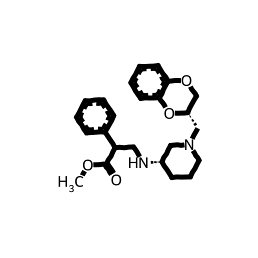 COC(=O)C(CN[C@H]1CCCN(C[C@H]2COc3ccccc3O2)C1)c1ccccc1